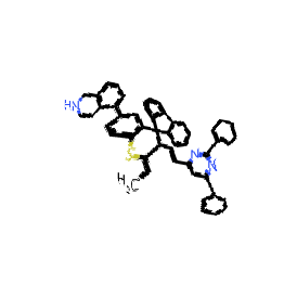 C=CC1Sc2ccc(-c3cccc4c3C=CNC4)cc2C2(c3ccccc3-c3ccccc32)C1/C=C/c1cc(-c2ccccc2)nc(C2=CC=CCC2)n1